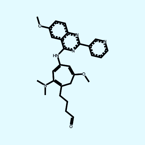 COC1=CC(Nc2nc(-c3cccnc3)nc3ccc(OC)cc23)=CC(N(C)C)=C(CCCC=O)C1